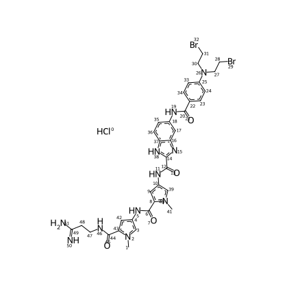 Cl.Cn1cc(NC(=O)c2cc(NC(=O)c3nc4cc(NC(=O)c5ccc(N(CCBr)CCBr)cc5)ccc4[nH]3)cn2C)cc1C(=O)NCCC(=N)N